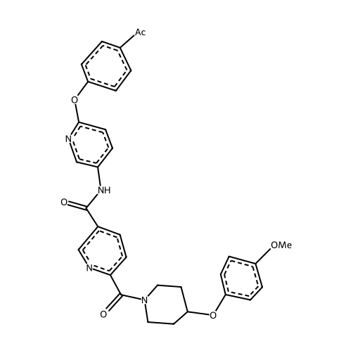 COc1ccc(OC2CCN(C(=O)c3ccc(C(=O)Nc4ccc(Oc5ccc(C(C)=O)cc5)nc4)cn3)CC2)cc1